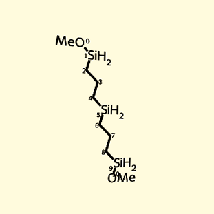 CO[SiH2]CCC[SiH2]CCC[SiH2]OC